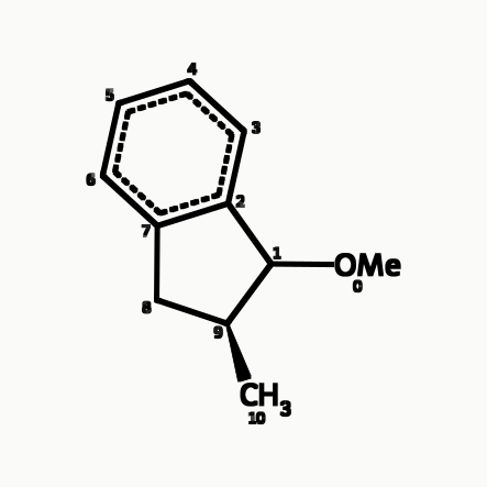 COC1c2ccccc2C[C@@H]1C